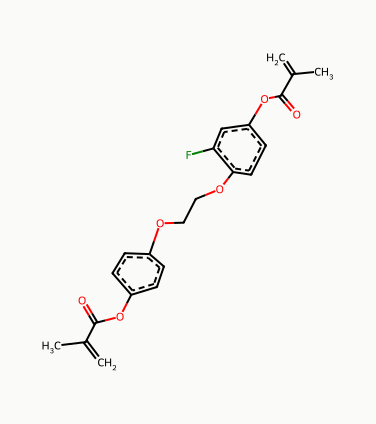 C=C(C)C(=O)Oc1ccc(OCCOc2ccc(OC(=O)C(=C)C)cc2F)cc1